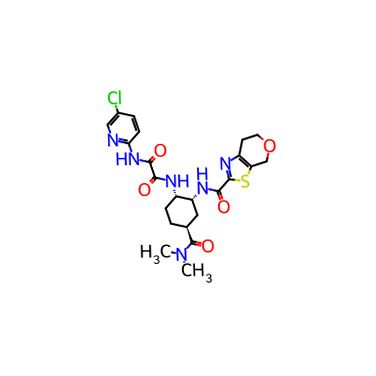 CN(C)C(=O)[C@H]1CC[C@H](NC(=O)C(=O)Nc2ccc(Cl)cn2)[C@H](NC(=O)c2nc3c(s2)COCC3)C1